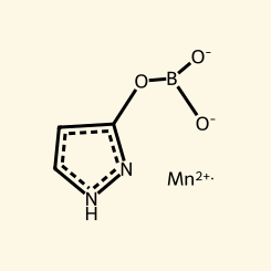 [Mn+2].[O-]B([O-])Oc1cc[nH]n1